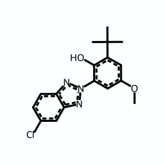 COc1cc(-n2nc3ccc(Cl)cc3n2)c(O)c(C(C)(C)C)c1